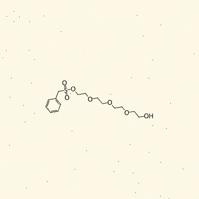 O=S(=O)(Cc1ccccc1)OCCOCCOCCOCCO